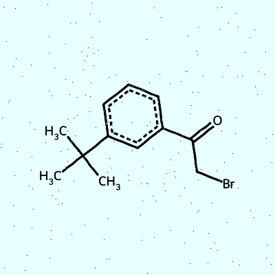 CC(C)(C)c1cccc(C(=O)CBr)c1